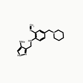 C=Nc1cc(CN2CCCCC2)ccc1NCc1n[nH]cc1NC